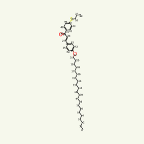 CCCCCCCCCCCCCCCCCCCCCCOc1ccc(C=CC(=O)c2ccc(SCCC)cc2)cc1